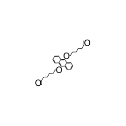 c1ccc2c(OCCCCCC3CO3)c3ccccc3c(OCCCCCC3CO3)c2c1